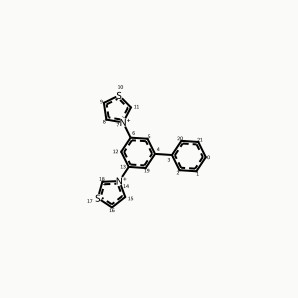 c1ccc(-c2cc(-[n+]3ccsc3)cc(-[n+]3ccsc3)c2)cc1